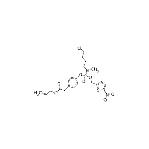 C=CCOC(=O)Cc1ccc(OP(=O)(OCc2ccc([N+](=O)[O-])s2)N(C)CCCCCl)cc1